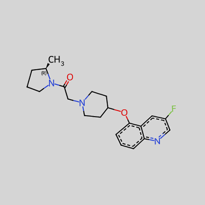 C[C@@H]1CCCN1C(=O)CN1CCC(Oc2cccc3ncc(F)cc23)CC1